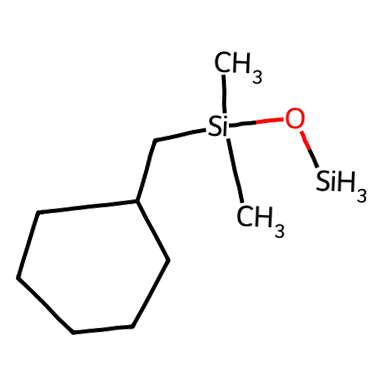 C[Si](C)(CC1CCCCC1)O[SiH3]